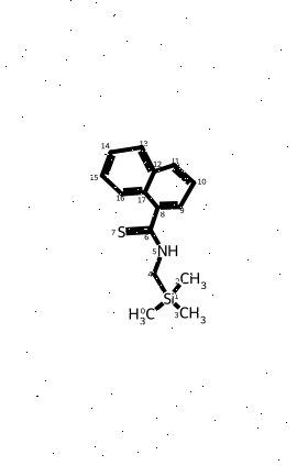 C[Si](C)(C)CNC(=S)c1cc[c]c2ccccc12